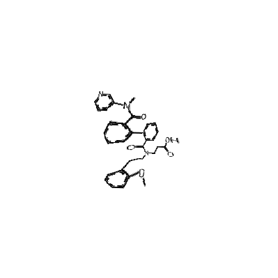 COc1ccccc1CCN(CCC(=O)O)C(=O)c1ccccc1-c1ccccc1C(=O)N(C)c1cccnc1